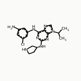 CC(C)n1cnc2c(Nc3cc(N)cc(Cl)c3)nc(N[C@H]3CCNC3)nc21